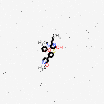 CCCCc1nc(O)c(Sc2ccc(-c3ccnc(OC)c3)cc2)c(O)c1N(CC)c1ccccc1